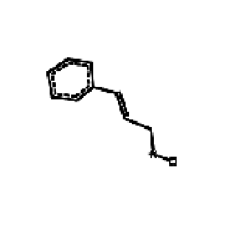 Cl[N]CC=Cc1ccccc1